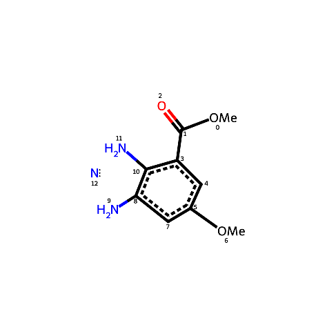 COC(=O)c1cc(OC)cc(N)c1N.[N]